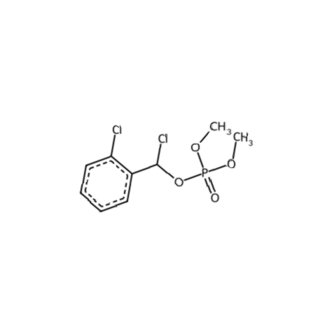 COP(=O)(OC)OC(Cl)c1ccccc1Cl